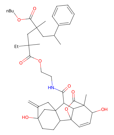 C=C1CC23CC1(O)CCC2C12C=CC(O)C(C)(C(=O)O1)C2C3C(=O)NCCOC(=O)C(C)(CC)CC(C)(CC(C)c1ccccc1)C(=O)OCCCC